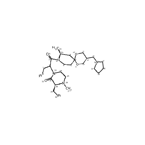 CC(C)CC(C(=O)N1CCC2(C[C@@H]1C)OCC(CN1CCCC1)CO2)N1CCN(C)[C@@H](CC(C)C)C1=O